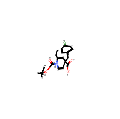 CCC1CC(Cc2ccc(Cl)cc2)(C(=O)O)CCN1C(=O)OC(C)(C)C